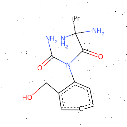 CC(C)C(N)(N)C(=O)N(C(N)=O)c1ccccc1CO